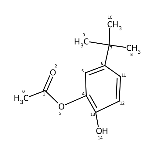 CC(=O)Oc1cc(C(C)(C)C)ccc1O